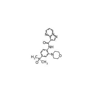 CP(C)(=O)c1ccc(NC(=O)c2cnn3cccnc23)c(N2CCOCC2)c1